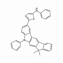 CC1(C)c2ccccc2-c2cc3c4cc(-c5ccc(Nc6ccccc6)s5)ccc4n(-c4ccccc4)c3cc21